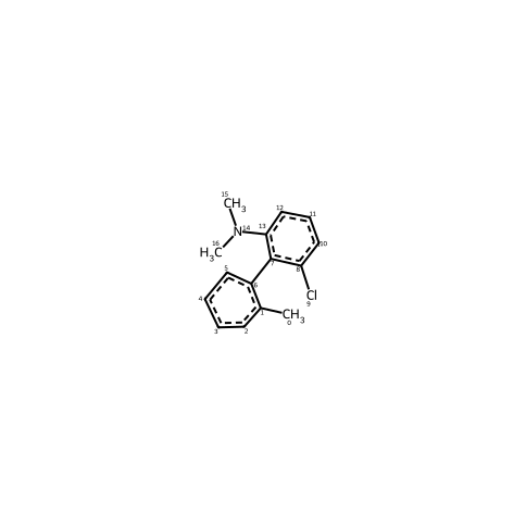 Cc1ccccc1-c1c(Cl)[c]ccc1N(C)C